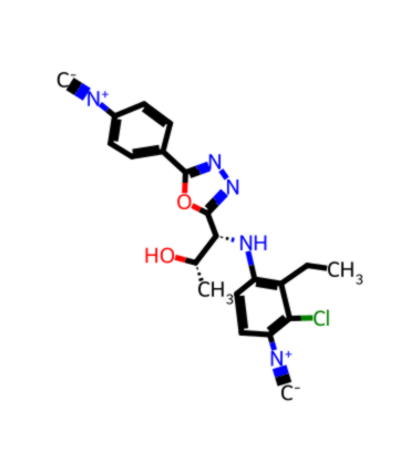 [C-]#[N+]c1ccc(-c2nnc([C@H](Nc3ccc([N+]#[C-])c(Cl)c3CC)[C@H](C)O)o2)cc1